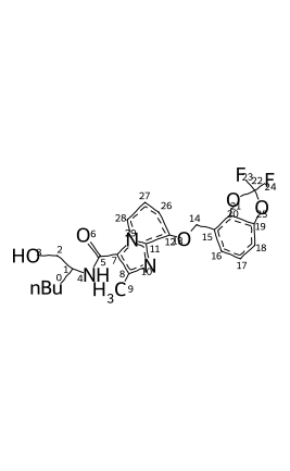 CCCCC(CO)NC(=O)c1c(C)nc2c(OCc3cccc4c3OC(F)(F)O4)cccn12